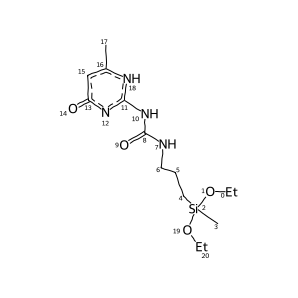 CCO[Si](C)(CCCNC(=O)Nc1nc(=O)cc(C)[nH]1)OCC